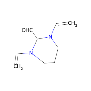 C=CN1CCCN(C=C)C1C=O